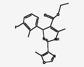 CCOC(=O)C1=C(C)NC(c2ncoc2C)=NC1c1cccc(F)c1C